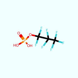 O=P(O)(O)OC(F)(F)C(F)(F)C(F)(F)F